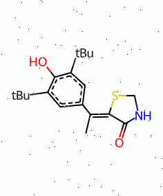 CC(=C1SCNC1=O)c1cc(C(C)(C)C)c(O)c(C(C)(C)C)c1